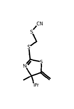 C=C1SC(SCSC#N)=NC1(C)C(C)C